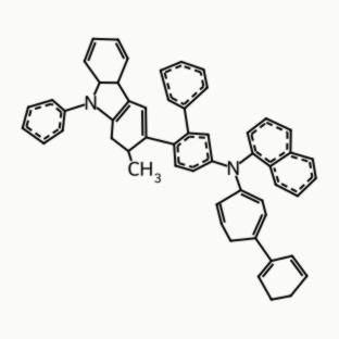 CC1CC2=C(C=C1c1ccc(N(C3=CC=C(C4=CCCC=C4)CC=C3)c3cccc4ccccc34)cc1-c1ccccc1)C1C=CC=CC1N2c1ccccc1